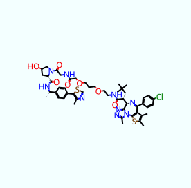 Cc1ncsc1-c1ccc([C@H](C)NC(=O)[C@@H]2C[C@@H](O)CN2C(=O)CNC(=O)COCCCOCCNC(=O)[C@H](CC(C)(C)C)[C@@H]2N=C(c3ccc(Cl)cc3)c3c(sc(C)c3C)-n3c(C)nnc32)cc1